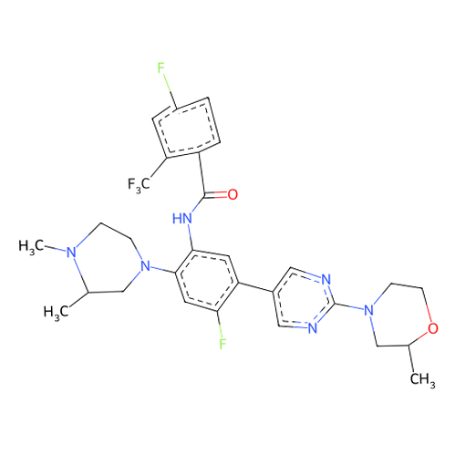 CC1CN(c2ncc(-c3cc(NC(=O)c4ccc(F)cc4C(F)(F)F)c(N4CCN(C)C(C)C4)cc3F)cn2)CCO1